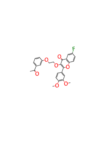 COc1ccc(-c2oc3ccc(F)cc3c(=O)c2OCCOc2cccc(C(C)=O)c2)cc1OC